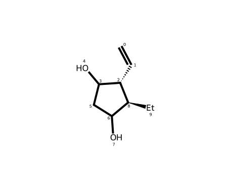 C=C[C@H]1C(O)CC(O)[C@@H]1CC